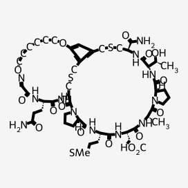 CSCC[C@@H]1NC(=O)[C@@H]2CCCN2C(=O)[C@@H]2CSCc3cc(cc(c3)OCCCCCCO/N=C/C(=O)N[C@@H](CCC(N)=O)C(=O)N2)CSC[C@@H](C(N)=O)NC(=O)[C@H]([C@@H](C)O)NC(=O)[C@@H]2CCCN2C(=O)[C@H](C)NC(=O)[C@H](CC(=O)O)NC1=O